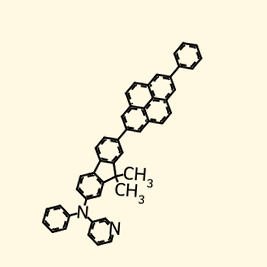 CC1(C)c2cc(-c3cc4ccc5cc(-c6ccccc6)cc6ccc(c3)c4c56)ccc2-c2ccc(N(c3ccccc3)c3cccnc3)cc21